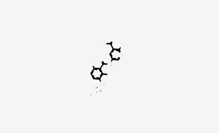 CCCS(=O)(=O)Nc1ccc(F)c(C(=O)Nc2cnc(N)c(C(N)=O)c2)c1F